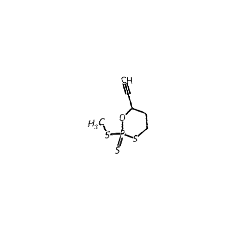 C#CC1CCSP(=S)(SC)O1